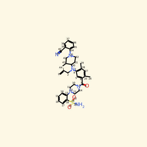 C=CCN(c1cc(C(=O)N2CCN(c3ccccc3S(N)(=O)=O)CC2)c(C)cc1C)C1CCN(c2ccccc2C#N)CC1C